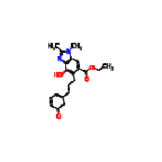 CCOC(=O)c1cc2c(nc(C)n2C)c(O)c1CCCC1=CC=CC(=O)C1